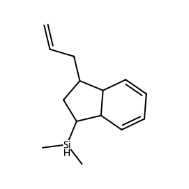 C=CCC1CC([SiH](C)C)C2C=CC=CC12